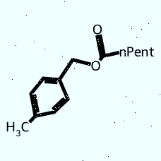 CCCCCC(=O)OCc1ccc(C)cc1